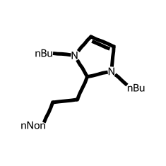 CCCCCCCCCCCC1N(CCCC)C=CN1CCCC